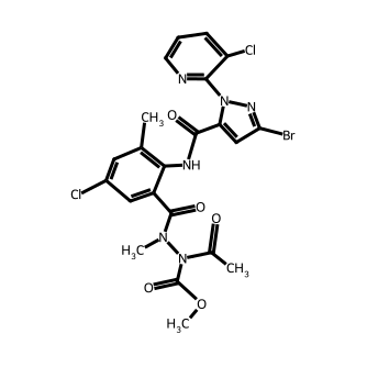 COC(=O)N(C(C)=O)N(C)C(=O)c1cc(Cl)cc(C)c1NC(=O)c1cc(Br)nn1-c1ncccc1Cl